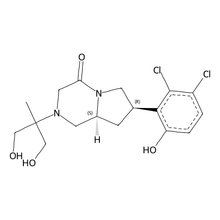 CC(CO)(CO)N1CC(=O)N2C[C@@H](c3c(O)ccc(Cl)c3Cl)C[C@H]2C1